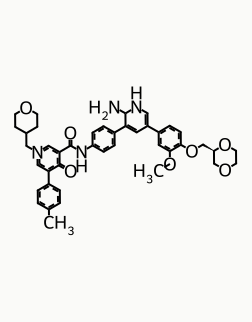 COc1cc(C2=CNC(N)C(c3ccc(NC(=O)c4cn(CC5CCOCC5)cc(-c5ccc(C)cc5)c4=O)cc3)=C2)ccc1OC[C@@H]1COCCO1